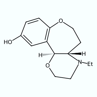 CCN1CCO[C@H]2c3cc(O)ccc3OCC[C@@H]21